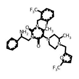 Cc1c(N2CCN(Cc3ccc(C(F)(F)F)o3)C(C)C2)c(=O)n(CC(N)c2ccccc2)c(=O)n1Cc1c(F)cccc1C(F)(F)F